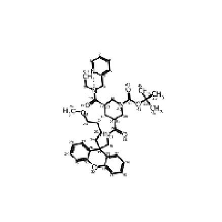 CCN(Cc1ccccn1)C(=O)[C@@H]1C[C@H](C(=O)NCC2(CCCCOC)c3ccccc3Oc3ccccc32)CN(C(=O)OC(C)(C)C)C1